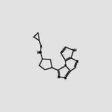 c1cc2c(ncc3nnc(C4CCC(NSC5CC5)C4)n32)[nH]1